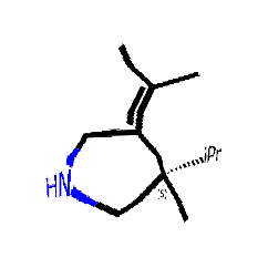 CC(C)=C1CNC[C@@]1(C)C(C)C